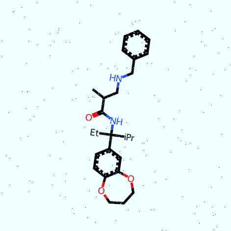 CCC(NC(=O)C(C)CNCc1ccccc1)(c1ccc2c(c1)OCCCO2)C(C)C